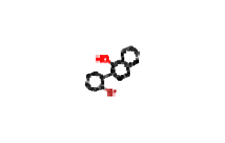 Oc1c(-c2ccccc2Br)ccc2ccccc12